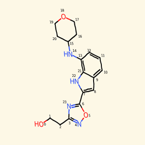 OCCc1noc(-c2cc3cccc(NC4CCOCC4)c3[nH]2)n1